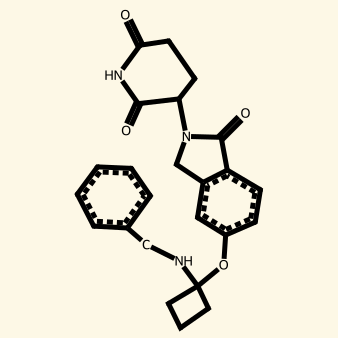 O=C1CCC(N2Cc3cc(OC4(NCc5ccccc5)CCC4)ccc3C2=O)C(=O)N1